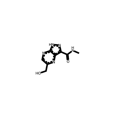 CNC(=O)c1n[nH]c2ncc(CO)nc12